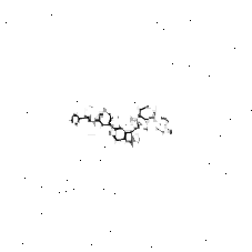 CN1CCN(c2nccc3[nH]c(-c4n[nH]c5cnc(-c6cncc(NC(=O)C7CCC7)c6)cc45)nc23)CC1